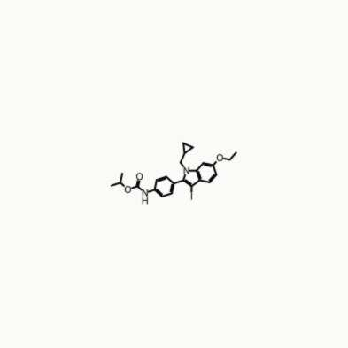 CCOc1ccc2c(I)c(-c3ccc(NC(=O)OC(C)C)cc3)n(CC3CC3)c2c1